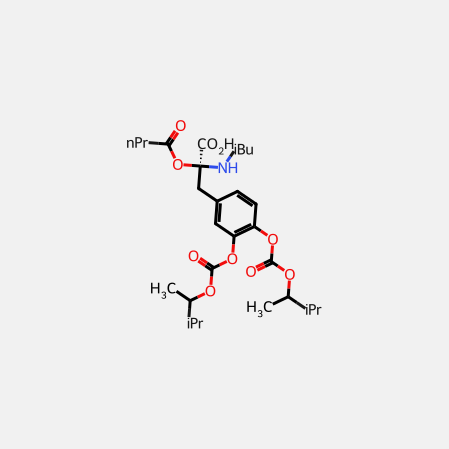 CCCC(=O)O[C@](Cc1ccc(OC(=O)OC(C)C(C)C)c(OC(=O)OC(C)C(C)C)c1)(NC(C)CC)C(=O)O